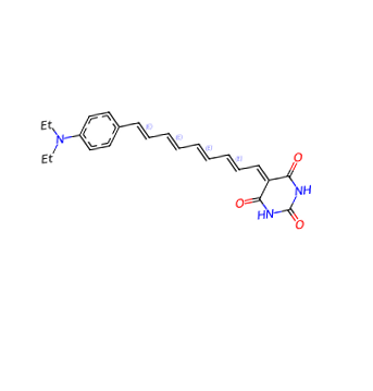 CCN(CC)c1ccc(/C=C/C=C/C=C/C=C/C=C2C(=O)NC(=O)NC2=O)cc1